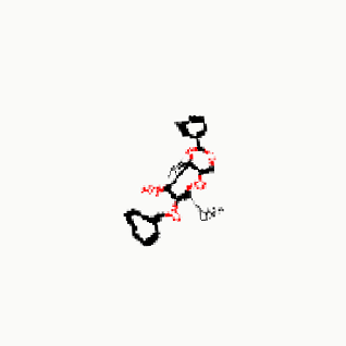 CO[C@H]1OC2COC(c3ccccc3)O[C@H]2C(O)C1OCc1ccccc1